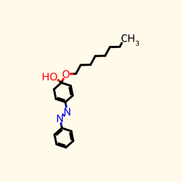 CCCCCCCCOC1(O)C=CC(N=Nc2ccccc2)=CC1